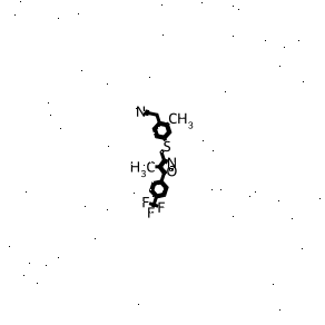 Cc1cc(SCc2noc(-c3ccc(C(F)(F)F)cc3)c2C)ccc1CC#N